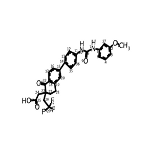 COc1cccc(NC(=O)Nc2ccc(-c3ccc4c(c3)CCC(CC(=O)O)(CC(F)(F)F)C4=O)cc2)c1